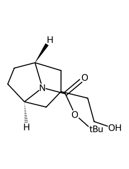 CC(C)(C)OC(=O)N1[C@@H]2CC[C@@H]1CC(CCO)C2